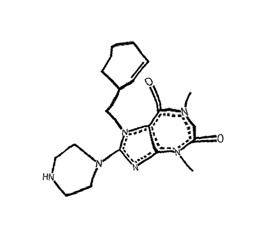 Cn1c(=O)c2c(nc(N3CCNCC3)n2CC2C=CCCC2)n(C)c1=O